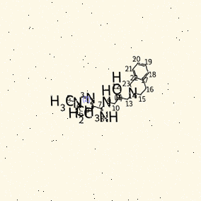 C=C(/N=C\N(C)C)C(=N)NC[C@@H](O)CN1CCc2ccccc2C1